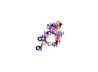 C=C[C@@H]1C[C@]1(NC(=O)[C@@H]1C[C@@H]2CN1C(=O)[C@H](C(C)(C)C)NC(=O)O[C@@H]1C[C@H]1CCCCCc1c(nc3ccccc3c1OCCc1ccccn1)O2)C(=O)NS(=O)(=O)C1(C)CC1